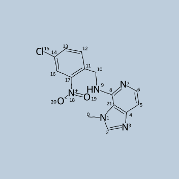 Cn1cnc2ccnc(NCc3ccc(Cl)cc3[N+](=O)[O-])c21